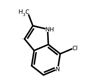 Cc1[c]c2ccnc(Cl)c2[nH]1